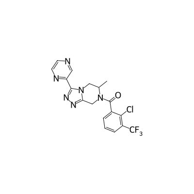 CC1Cn2c(nnc2-c2cnccn2)CN1C(=O)c1cccc(C(F)(F)F)c1Cl